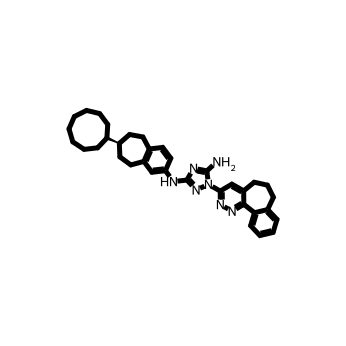 Nc1nc(Nc2ccc3c(c2)CC[C@@H](C2CCCCCCCC2)CC3)nn1-c1cc2c(nn1)-c1ccccc1CCC2